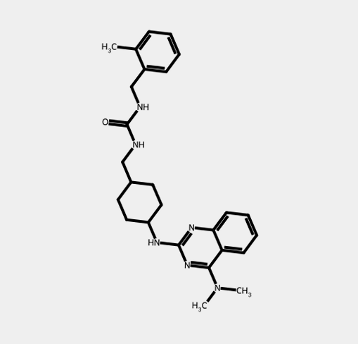 Cc1ccccc1CNC(=O)NCC1CCC(Nc2nc(N(C)C)c3ccccc3n2)CC1